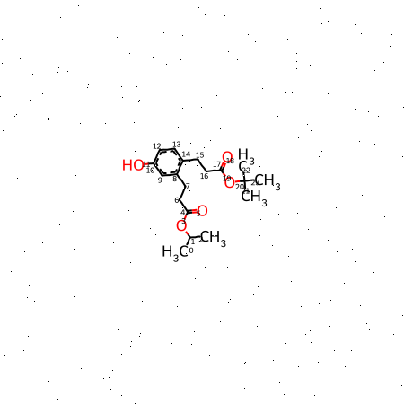 CC(C)OC(=O)CCc1cc(O)ccc1CCC(=O)OC(C)(C)C